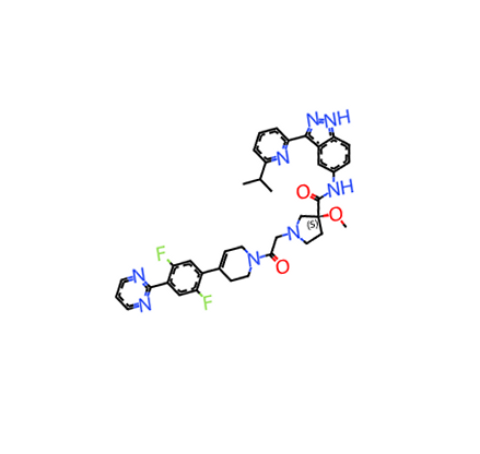 CO[C@@]1(C(=O)Nc2ccc3[nH]nc(-c4cccc(C(C)C)n4)c3c2)CCN(CC(=O)N2CC=C(c3cc(F)c(-c4ncccn4)cc3F)CC2)C1